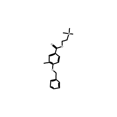 Cc1cc(C(=O)OCC[Si](C)(C)C)ccc1OCc1ccccc1